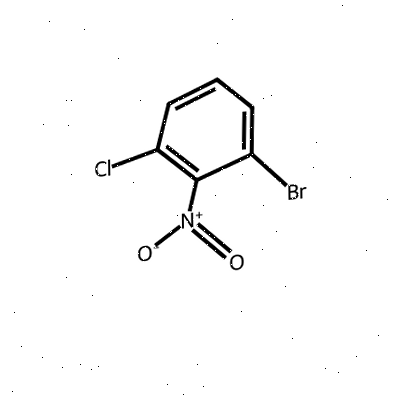 O=[N+]([O-])c1c(Cl)cccc1Br